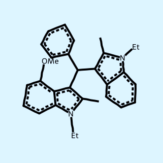 CCn1c(C)c(C(c2ccccc2)c2c(C)n(CC)c3cccc(OC)c23)c2ccccc21